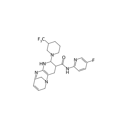 O=C(Nc1ccc(F)cn1)C1CC2=C(N=C3C=CCN2C3)NC1N1CCCC(C(F)(F)F)C1